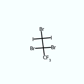 FC(F)(F)C(Br)(Br)C(Br)(I)I